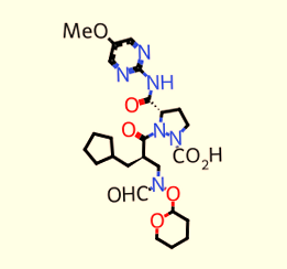 COc1cnc(NC(=O)[C@@H]2CCN(C(=O)O)N2C(=O)[C@H](CC2CCCC2)CN(C=O)OC2CCCCO2)nc1